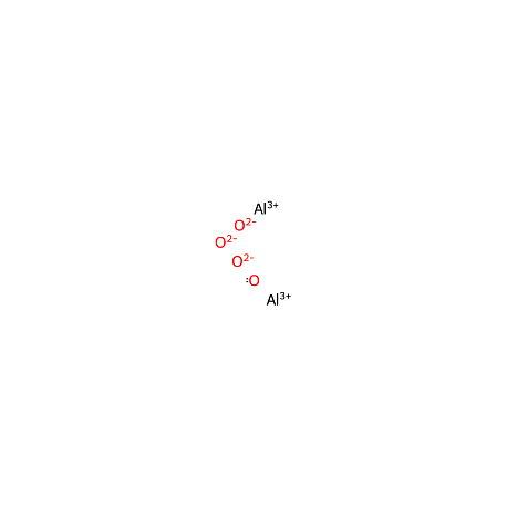 [Al+3].[Al+3].[O-2].[O-2].[O-2].[O]